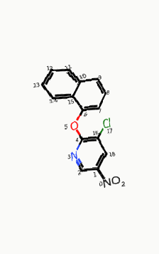 O=[N+]([O-])c1cnc(Oc2cccc3ccccc23)c(Cl)c1